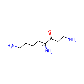 NCCCC[C@H](N)C(=O)CCN